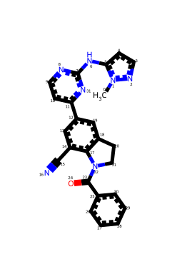 Cn1nccc1Nc1nccc(-c2cc(C#N)c3c(c2)CCN3C(=O)c2ccccc2)n1